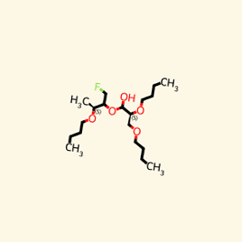 CCCCOC[C@H](OCCCC)C(O)OC(CF)[C@H](C)OCCCC